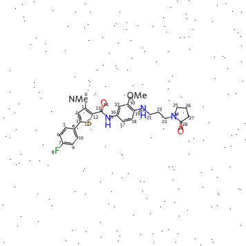 CNc1cc(-c2ccc(F)cc2)sc1C(=O)Nc1ccc(NCCCN2CCCC2=O)c(OC)c1